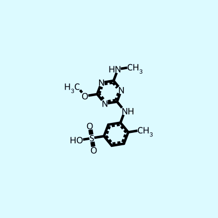 CNc1nc(Nc2cc(S(=O)(=O)O)ccc2C)nc(OC)n1